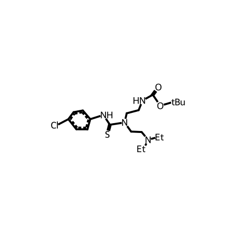 CCN(CC)CCN(CCNC(=O)OC(C)(C)C)C(=S)Nc1ccc(Cl)cc1